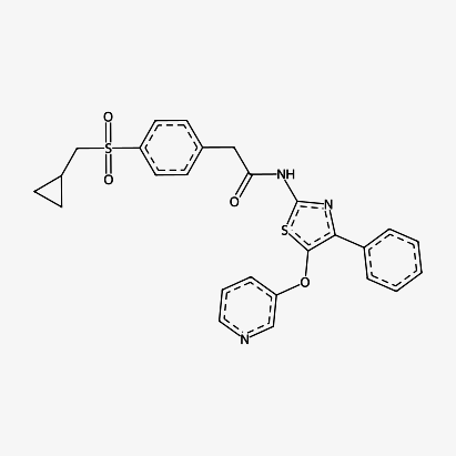 O=C(Cc1ccc(S(=O)(=O)CC2CC2)cc1)Nc1nc(-c2ccccc2)c(Oc2cccnc2)s1